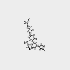 C=CC(=O)N1CC2(C1)CN(c1ccc(-c3cc(-c4cnn(C)c4)cn4ncc(C#N)c34)c(F)c1)C2